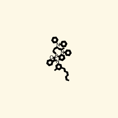 C\C=C/C=C\C=C\c1cc(C)cc(N2c3cccc4c3B(/C=C/C=C(N(c3ccccc3)c3ccccc3)\C=C(/C)N4c3ccccc3)c3oc4ccccc4c32)c1